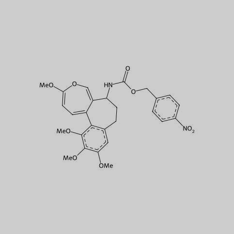 COC1=CC=C2C(=CO1)C(NC(=O)OCc1ccc([N+](=O)[O-])cc1)CCc1cc(OC)c(OC)c(OC)c12